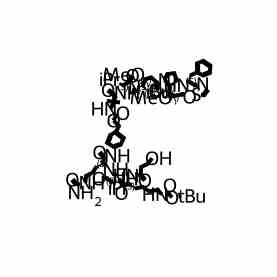 CC[C@H](C)[C@@H]([C@@H](CC(=O)N1CCC[C@H]1[C@H](OC)[C@@H](C)C(=O)N[C@@H](Cc1ccccc1)c1nccs1)OC)N(C)C(=O)[C@@H](NC(=O)C(C)(C)NC(=O)OCc1ccc(NC(=O)[C@H](CCCNC(N)=O)NC(=O)[C@@H](NC(=O)[C@H](CCCCNC(=O)OC(C)(C)C)NC(=O)CCO)C(C)C)cc1)C(C)C